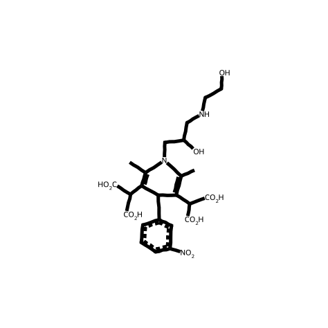 CC1=C(C(C(=O)O)C(=O)O)C(c2cccc([N+](=O)[O-])c2)C(C(C(=O)O)C(=O)O)=C(C)N1CC(O)CNCCO